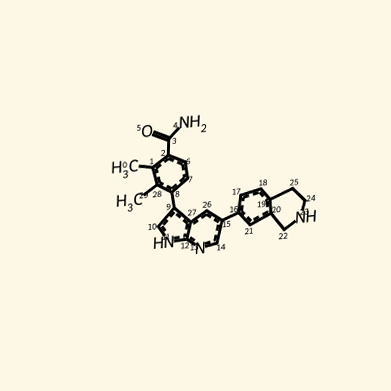 Cc1c(C(N)=O)ccc(-c2c[nH]c3ncc(-c4ccc5c(c4)CNCC5)cc23)c1C